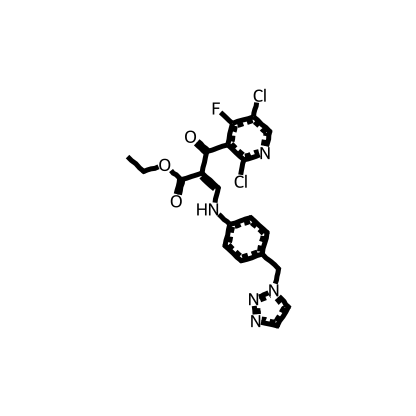 CCOC(=O)C(=CNc1ccc(Cn2ccnn2)cc1)C(=O)c1c(Cl)ncc(Cl)c1F